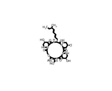 CCC(C)/C=C/C=C/C[C@@H]1NC(=O)[C@H]2C[C@@H](O)CNN2C(=O)COC(=O)[C@](C)(CO)NC(=O)[C@@H]2C[C@H](O)CNN2C(=O)[C@H]2C[C@H](Cl)CNN2C1=O